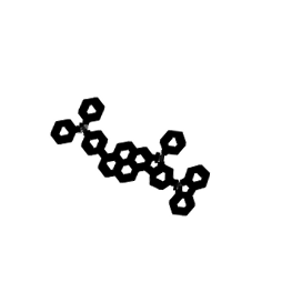 c1ccc(N(c2ccccc2)c2ccc(-c3ccc4ccc5c6c(ccc3c46)cc3c5c4ccc(-n5c6ccccc6c6ccccc65)cc4n3-c3ccccc3)cc2)cc1